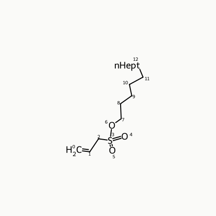 C=CCS(=O)(=O)OCCCCCCCCCCCC